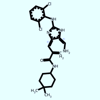 C=C(/C=c1/nc(Nc2c(Cl)cccc2Cl)[nH]/c1=C/N)C(=O)NC1CCC(C)(C)CC1